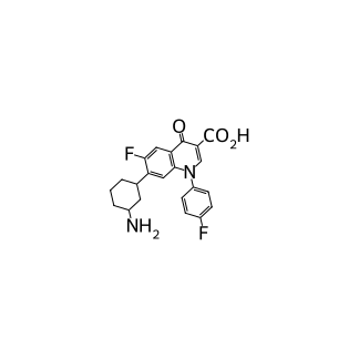 NC1CCCC(c2cc3c(cc2F)c(=O)c(C(=O)O)cn3-c2ccc(F)cc2)C1